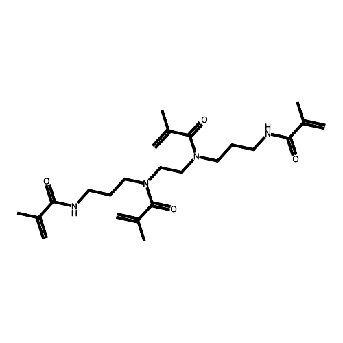 C=C(C)C(=O)NCCCN(CCN(CCCNC(=O)C(=C)C)C(=O)C(=C)C)C(=O)C(=C)C